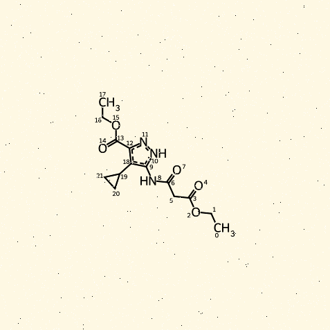 CCOC(=O)CC(=O)Nc1[nH]nc(C(=O)OCC)c1C1CC1